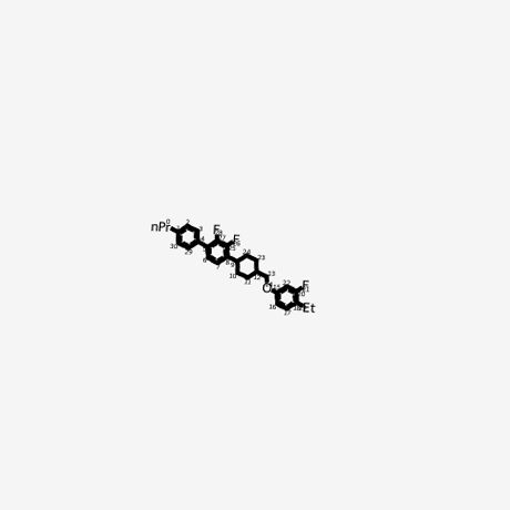 CCCc1ccc(-c2ccc(C3CCC(COc4ccc(CC)c(F)c4)CC3)c(F)c2F)cc1